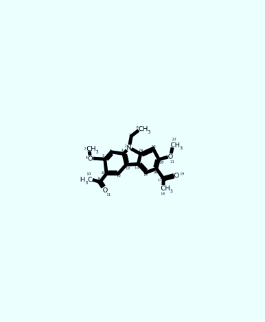 CCn1c2cc(OC)c(C(C)=O)cc2c2cc(C(C)=O)c(OC)cc21